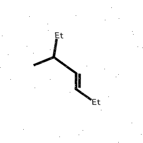 CC/C=C/C(C)CC